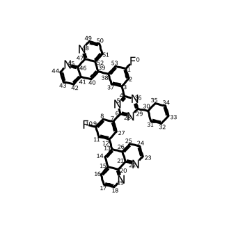 Fc1cc(-c2nc(-c3cc(F)cc(-c4cc5cccnc5c5ncccc45)c3)nc(C3C=CC=CC3)n2)cc(-c2cc3cccnc3c3ncccc23)c1